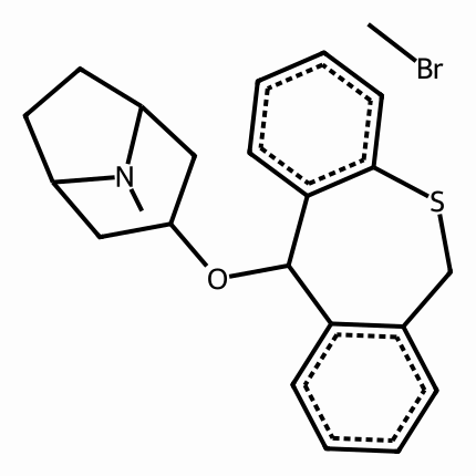 CBr.CN1C2CCC1CC(OC1c3ccccc3CSc3ccccc31)C2